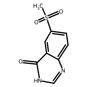 CS(=O)(=O)c1ccc2nc[nH]c(=O)c2c1